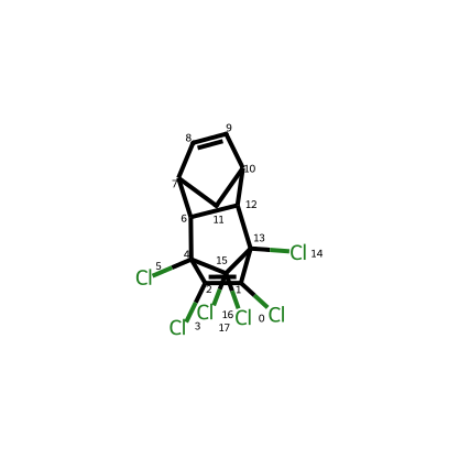 ClC1=C(Cl)C2(Cl)C3C4C=CC(C4)C3C1(Cl)C2(Cl)Cl